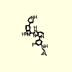 CN(C)CCNc1cc(F)cc(-c2nccc3[nH]c(-c4n[nH]c5ccc(C6=CCNCC6)cc45)nc23)c1